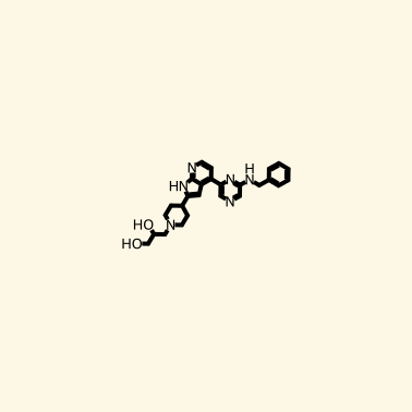 OCC(O)CN1CCC(c2cc3c(-c4cncc(NCc5ccccc5)n4)ccnc3[nH]2)CC1